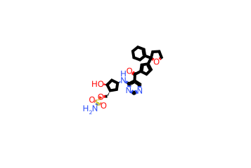 NS(=O)(=O)OC[C@H]1C[C@@H](Nc2ncncc2C(=O)C2=CC(C3(C4=CCCCC4)CCCO3)=CC2)C[C@@H]1O